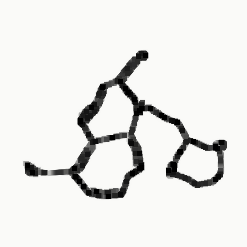 O=c1ccc2c(Br)cccc2n1CC1OCCO1